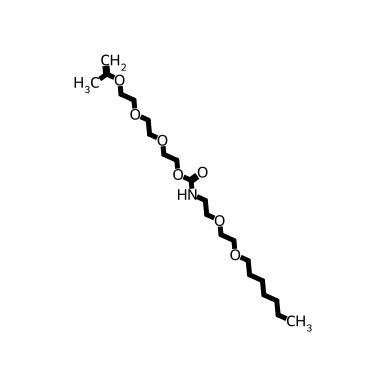 C=C(C)OCCOCCOCCOC(=O)NCCOCCOCCCCCCC